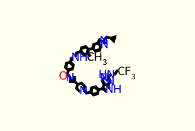 Cc1cc(CNCc2ccc(C(=O)N3CC(C4CCN(Cc5ccc(-c6c[nH]c7nc(NCCC(F)(F)F)ncc67)cc5)CC4)C3)cc2)ccc1-c1ccc2nn(CC3CC3)cc2c1